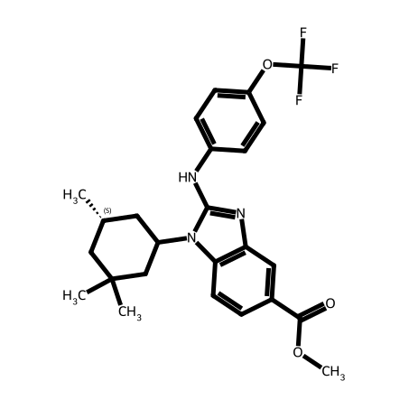 COC(=O)c1ccc2c(c1)nc(Nc1ccc(OC(F)(F)F)cc1)n2C1C[C@@H](C)CC(C)(C)C1